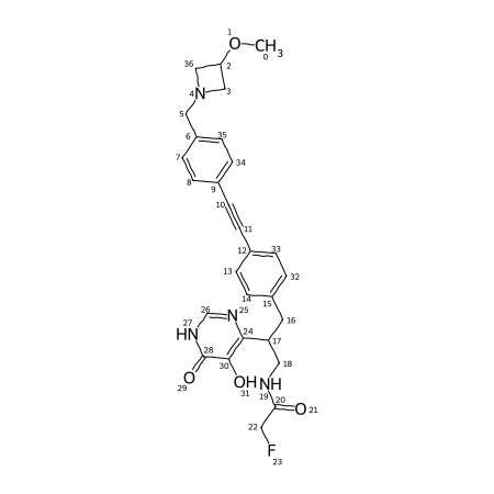 COC1CN(Cc2ccc(C#Cc3ccc(CC(CNC(=O)CF)c4nc[nH]c(=O)c4O)cc3)cc2)C1